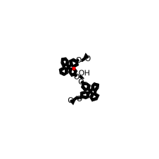 OC(COc1ccc(C2(c3ccc(OCC4CO4)cc3)c3ccccc3-c3ccccc32)cc1)Oc1ccc(C2(c3ccc(OCC4CO4)cc3)c3ccccc3-c3ccccc32)cc1